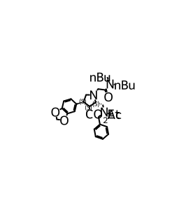 CCCCN(CCCC)C(=O)CN1C[C@H](c2ccc3c(c2)OCO3)[C@H](C(=O)OCC)[C@H]1CN(Cc1ccccc1)C(C)=O